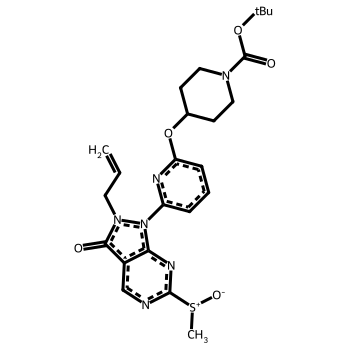 C=CCn1c(=O)c2cnc([S+](C)[O-])nc2n1-c1cccc(OC2CCN(C(=O)OC(C)(C)C)CC2)n1